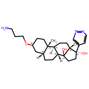 C[C@]12CC[C@H](OCCCN)C[C@H]1CC[C@@H]1[C@@H]2CC[C@]2(C)[C@@](O)(c3ccnnc3)CC[C@]12O